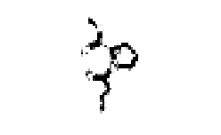 CCCC(=O)N1CCC[C@H]1C(=O)OC